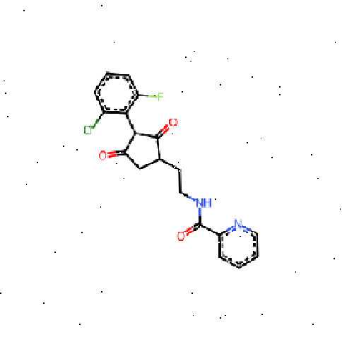 O=C(NCCC1CC(=O)C(c2c(F)cccc2Cl)C1=O)c1ccccn1